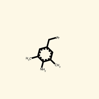 Cc1cc(CC(C)C)cc(C)c1N